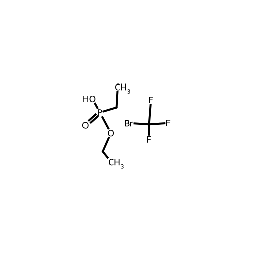 CCOP(=O)(O)CC.FC(F)(F)Br